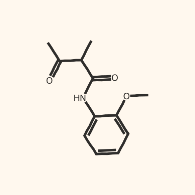 COc1ccccc1NC(=O)C(C)C(C)=O